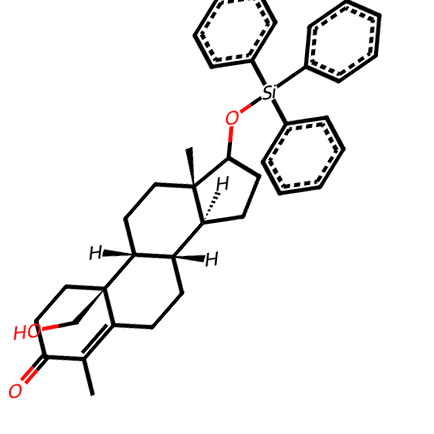 CC1=C2CC[C@@H]3[C@@H](CC[C@]4(C)C(O[Si](c5ccccc5)(c5ccccc5)c5ccccc5)CC[C@@H]34)[C@@]2(CO)CCC1=O